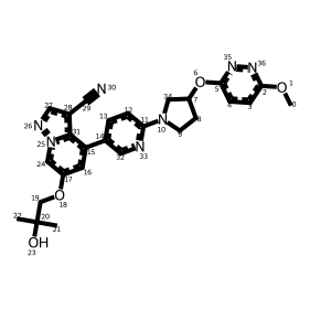 COc1ccc(OC2CCN(c3ccc(-c4cc(OCC(C)(C)O)cn5ncc(C#N)c45)cn3)C2)nn1